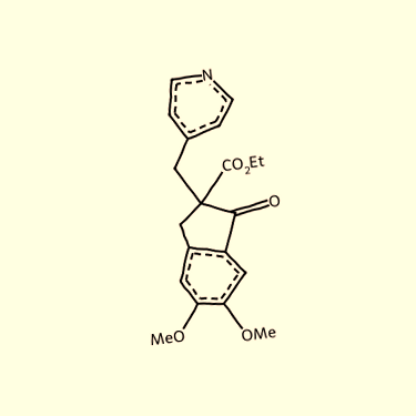 CCOC(=O)C1(Cc2ccncc2)Cc2cc(OC)c(OC)cc2C1=O